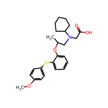 COc1ccc(Sc2ccccc2OC(C)CN(CC(=O)O)C2CCCCC2)cc1